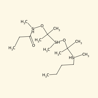 CCCC[SiH](C)C(C)(C)O[SiH](C)C(C)(C)O[SiH](C)C(=O)CC